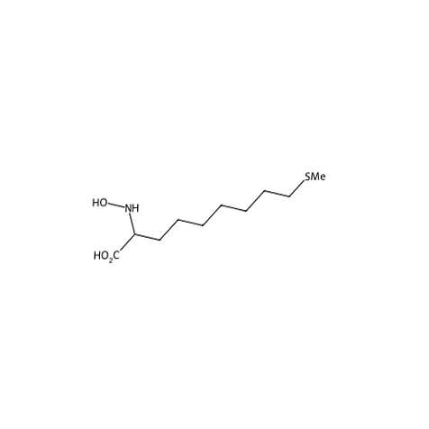 CSCCCCCCCC(NO)C(=O)O